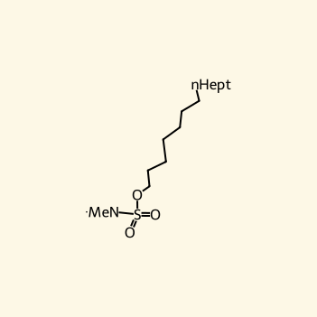 CCCCCCCCCCCCCCOS(=O)(=O)[N]C